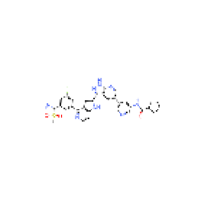 CS(=O)(=O)C(N)c1cc(F)cc(-c2nccc3[nH]c(-c4n[nH]c5ncc(-c6cncc(NC(=O)C7CCCC7)c6)cc45)cc23)c1